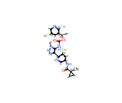 C[C@@H](OC(=O)Nc1c(-c2ncc(NC(=O)C3(C#N)CC3)cc2F)nnn1C)c1cc(F)cnc1F